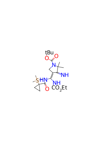 CCOC(=O)N/C(NC(=O)C1(S(C)(C)C)CC1)=C1/CN(C(=O)OC(C)(C)C)C(C)(C)C1=N